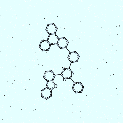 c1ccc(-c2nc(-c3cccc(-c4ccc5c6ccccc6c6ccccc6c5c4)c3)nc(-c3cccc4c3oc3ccccc34)n2)cc1